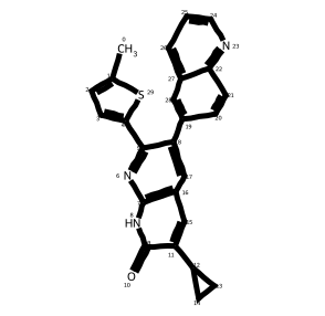 Cc1ccc(-c2nc3[nH]c(=O)c(C4CC4)cc3cc2-c2ccc3ncccc3c2)s1